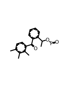 Cc1ccc(C(=O)c2ccccc2C(C)OP=O)c(C)c1C